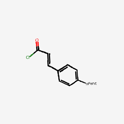 CCCCCc1ccc(/C=C/C(=O)Cl)cc1